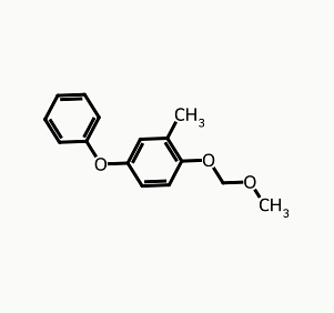 COCOc1ccc(Oc2ccccc2)cc1C